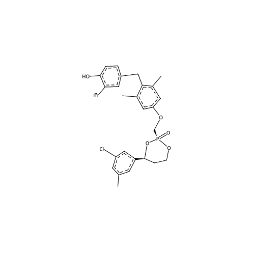 Cc1cc(Cl)cc([C@@H]2CCO[P@](=O)(COc3cc(C)c(Cc4ccc(O)c(C(C)C)c4)c(C)c3)O2)c1